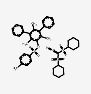 Cc1ccc(S(=O)(=O)Oc2c(C)c(-c3ccccc3)c(C)c(-c3ccccc3)c2C)cc1.[N-]=[N+]=C(S(=O)(=O)C1CCCCC1)S(=O)(=O)C1CCCCC1